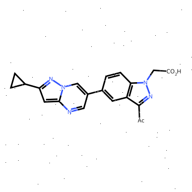 CC(=O)c1nn(CC(=O)O)c2ccc(-c3cnc4cc(C5CC5)nn4c3)cc12